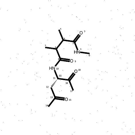 CNC(=O)C(C)C(C)C(=O)N[C@@H](CC(C)=O)C(C)=O